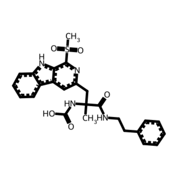 CC(Cc1cc2c([nH]c3ccccc32)c(S(C)(=O)=O)n1)(NC(=O)O)C(=O)NCCc1ccccc1